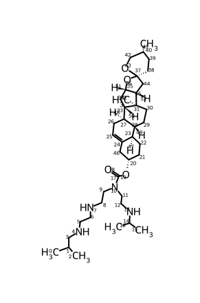 CC(C)CNCCNCCN(CCNC(C)C)C(=O)O[C@H]1CC[C@H]2C(=CC[C@@H]3[C@@H]2CC[C@@]2(C)[C@H]3C[C@@H]3O[C@]4(CC[C@@H](C)CO4)C[C@@H]32)C1